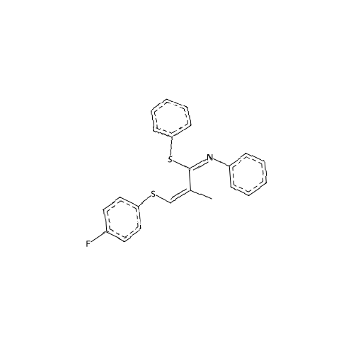 CC(=CSc1ccc(F)cc1)C(=Nc1ccccc1)Sc1ccccc1